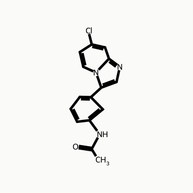 CC(=O)Nc1cccc(-c2cnc3cc(Cl)ccn23)c1